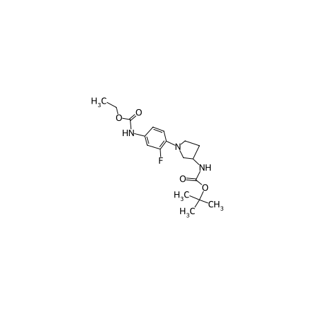 CCOC(=O)Nc1ccc(N2CCC(NC(=O)OC(C)(C)C)C2)c(F)c1